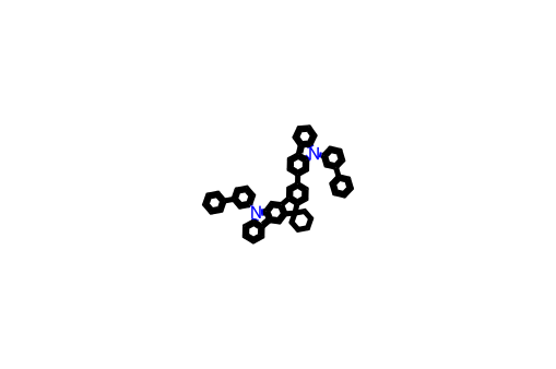 c1ccc(-c2cccc(-n3c4ccccc4c4ccc(-c5ccc6c(c5)-c5cc7c(cc5C65CCCCC5)c5ccccc5n7-c5cccc(-c6ccccc6)c5)cc43)c2)cc1